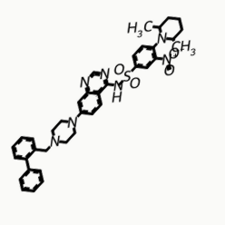 CC1CCCC(C)N1c1ccc(S(=O)(=O)Nc2ncnc3cc(N4CCN(Cc5ccccc5-c5ccccc5)CC4)ccc23)cc1[N+](=O)[O-]